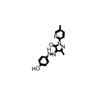 CC1=NN(c2ccc(C)cn2)C(=O)/C1=N\Nc1ccc(O)cc1